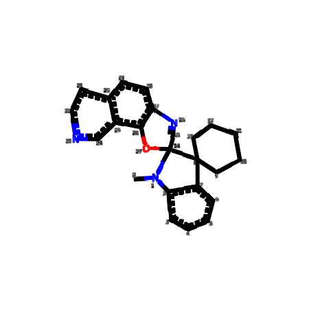 CN1c2ccccc2C2(CCCCC2)C12C=Nc1ccc3ccncc3c1O2